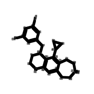 Fc1cc(F)cc(CN2CCOc3cc4c(c(C5CC5)c32)CCNCC4)c1